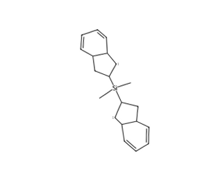 C[Si](C)(C1[C]C2C=CC=CC2C1)C1[C]C2C=CC=CC2C1